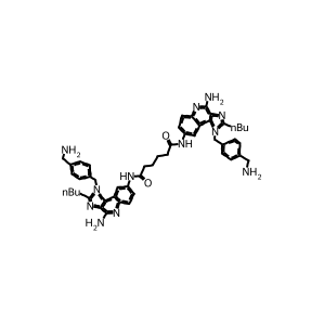 CCCCc1nc2c(N)nc3ccc(NC(=O)CCCCC(=O)Nc4ccc5nc(N)c6nc(CCCC)n(Cc7ccc(CN)cc7)c6c5c4)cc3c2n1Cc1ccc(CN)cc1